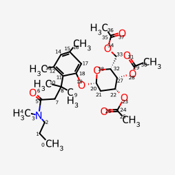 CCCN(C)C(=O)CC(C)(C)c1c(C)cc(C)cc1O[C@H]1C[C@@H](OC(C)=O)[C@@H](OC(C)=O)[C@@H](COC(C)=O)O1